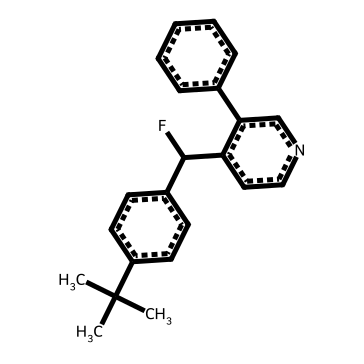 CC(C)(C)c1ccc(C(F)c2ccncc2-c2ccccc2)cc1